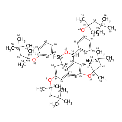 CC(C)(C)CC(C)(C)Oc1cccc([SiH](O[SiH](c2cccc(OC(C)(C)CC(C)(C)C)c2)c2cccc(OC(C)(C)CC(C)(C)C)c2)c2cccc(OC(C)(C)CC(C)(C)C)c2)c1